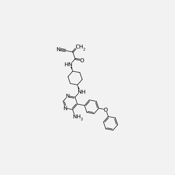 C=C(C#N)C(=O)N[C@H]1CC[C@@H](Nc2ncnc(N)c2-c2ccc(Oc3ccccc3)cc2)CC1